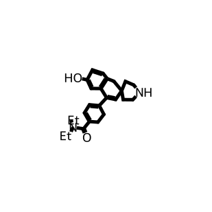 CCN(CC)C(=O)C1=CC=C(C2=CC3(CCNCC3)Cc3ccc(O)cc32)CC1